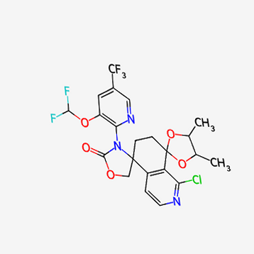 CC1OC2(CCC3(COC(=O)N3c3ncc(C(F)(F)F)cc3OC(F)F)c3ccnc(Cl)c32)OC1C